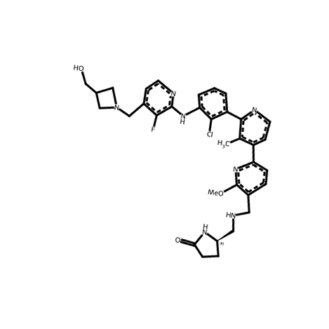 COc1nc(-c2ccnc(-c3cccc(Nc4nccc(CN5CC(CO)C5)c4F)c3Cl)c2C)ccc1CNC[C@H]1CCC(=O)N1